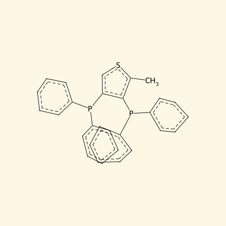 Cc1scc(P(c2ccccc2)c2ccccc2)c1P(c1ccccc1)c1ccccc1